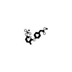 COC(=O)Cc1ccc(Oc2nc(OS(C)(=O)=O)ccc2C)cc1